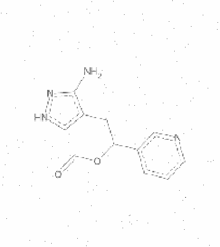 Nc1n[nH]cc1CC(OC=O)c1cccnc1